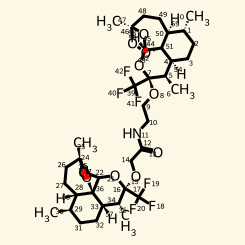 C[C@@H]1CC[C@H]2[C@@H](C)[C@](OCCNC(=O)CO[C@@]3(C(F)(F)F)O[C@@H]4O[C@]5(C)CC[C@H]6[C@H](C)CC[C@@H]([C@H]3C)[C@@]46OO5)(C(F)(F)F)O[C@@H]3O[C@]4(C)CC[C@@H]1[C@]32OO4